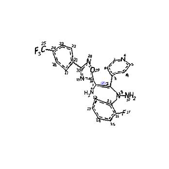 N/C(=C(/c1ccncc1)N(N)c1ccccc1F)c1nc(-c2ccc(C(F)(F)F)cc2)no1